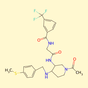 CSc1ccc(CNC2CCN(C(C)=O)CC2NC(=O)CNC(=O)c2cccc(C(F)(F)F)c2)cc1